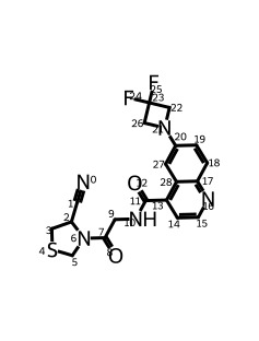 N#CC1CSCN1C(=O)CNC(=O)c1ccnc2ccc(N3CC(F)(F)C3)cc12